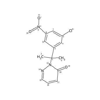 CC(C)(c1cc(Cl)cc([N+](=O)[O-])c1)n1ncccc1=O